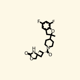 CC1(C2CCN(C(=O)[C@H]3C[C@@]4(COC(=O)N4)C3)CC2)Cc2cc(F)cc(F)c2O1